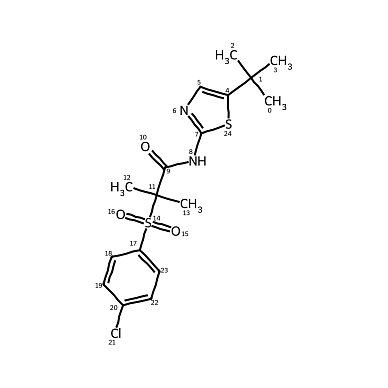 CC(C)(C)c1cnc(NC(=O)C(C)(C)S(=O)(=O)c2ccc(Cl)cc2)s1